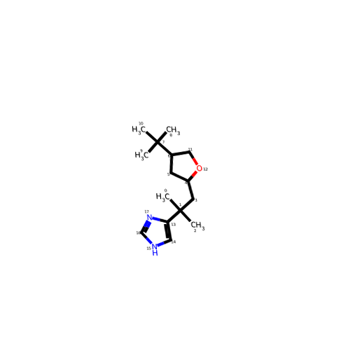 CC(C)(CC1CC(C(C)(C)C)CO1)c1c[nH]cn1